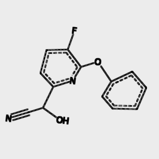 N#CC(O)c1ccc(F)c(Oc2ccccc2)n1